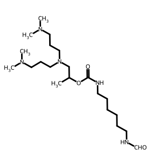 CC(CN(CCCN(C)C)CCCN(C)C)OC(=O)NCCCCCCNC=O